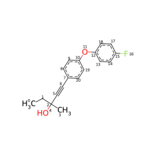 CCC(C)(O)C#Cc1ccc(Oc2ccc(F)cc2)cc1